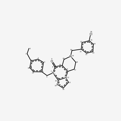 CCc1ccc(Cn2c(=O)c3c(n4ccnc24)CCN(Cc2cccc(Cl)c2)C3)cc1